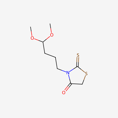 COC(CCCN1C(=O)CSC1=S)OC